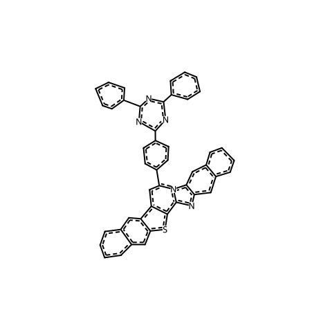 c1ccc(-c2nc(-c3ccccc3)nc(-c3ccc(-c4cc5c6cc7ccccc7cc6sc5c5nc6cc7ccccc7cc6n45)cc3)n2)cc1